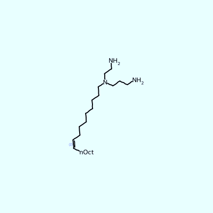 CCCCCCCC/C=C\CCCCCCCCN(CCN)CCCN